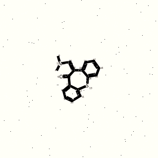 CN(C)C=C1C(=O)c2ccccc2Sc2ccccc21